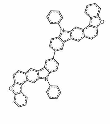 c1ccc(-n2c3ccc(-c4ccc5c(c4)c4cc6ccc7oc8ccccc8c7c6cc4n5-c4ccccc4)cc3c3cc4ccc5oc6ccccc6c5c4cc32)cc1